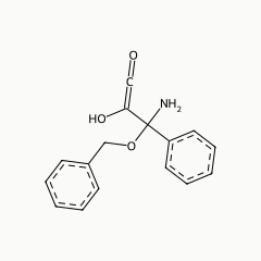 NC(OCc1ccccc1)(C(O)=C=O)c1ccccc1